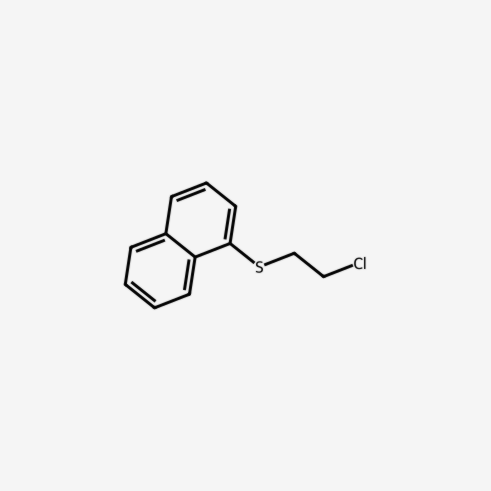 ClCCSc1cccc2ccccc12